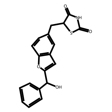 O=C1NC(=O)C(Cc2ccc3oc(C(O)c4ccccc4)cc3c2)S1